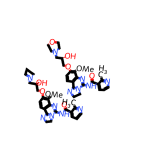 COc1c(OC[C@@H](O)CN2CCOCC2)ccc2c1N=C(NC(=O)c1cccnc1C)N1CCN=C21.COc1c(OC[C@H](O)CN2CCC2)ccc2c1N=C(NC(=O)c1cccnc1C)N1CCN=C21